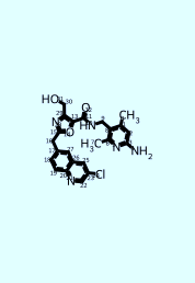 Cc1cc(N)nc(C)c1CNC(=O)c1oc(Cc2ccc3ncc(Cl)cc3c2)nc1CO